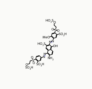 COc1cc(S(=O)(=O)CCOS(=O)(=O)O)c(S(=O)(=O)O)cc1/N=N/c1c(S(=O)(=O)O)cc2c(/N=N/c3ccc(S(=O)(=O)CCOS(=O)(=O)O)c(S(=O)(=O)O)c3)c(N)ccc2c1O